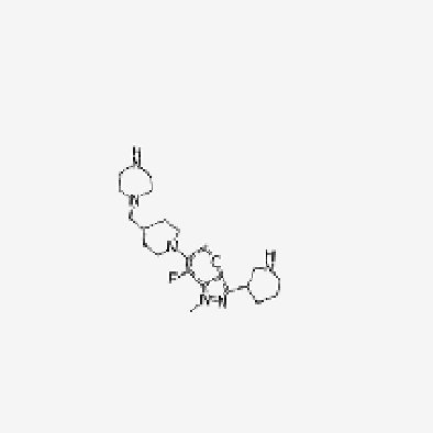 Cn1nc(C2CCCNC2)c2ccc(N3CCC(CN4CCNCC4)CC3)c(F)c21